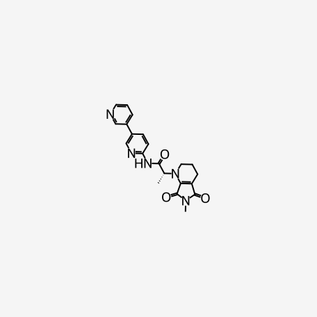 C[C@H](C(=O)Nc1ccc(-c2cccnc2)cn1)N1CCCC2=C1C(=O)N(C)C2=O